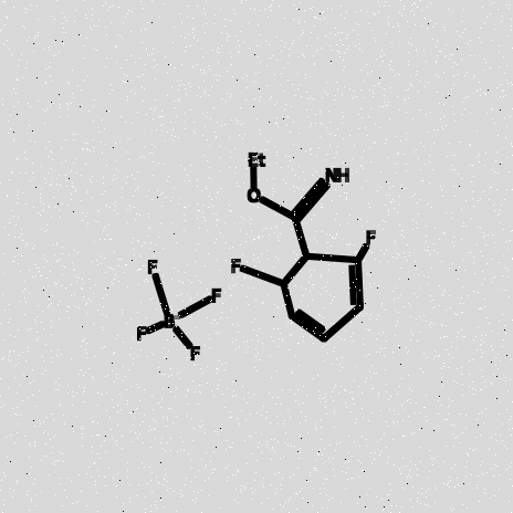 CCOC(=N)C1C(F)=CC=CC1F.F[B-](F)(F)F